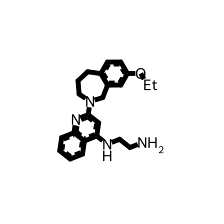 CCOc1ccc2c(c1)CN(c1cc(NCCN)c3ccccc3n1)CCC2